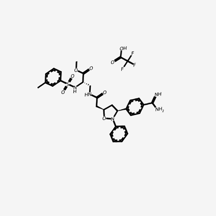 COC(=O)[C@H](CNC(=O)C[C@H]1C[C@@H](c2ccc(C(=N)N)cc2)N(c2ccccc2)O1)NS(=O)(=O)c1cccc(C)c1.O=C(O)C(F)(F)F